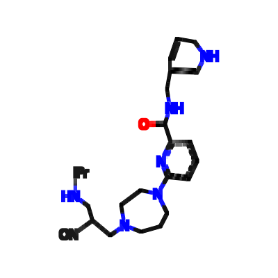 CC(C)NCC(CN1CCCN(c2cccc(C(=O)NCC3=CNCC=C3)n2)CC1)N=O